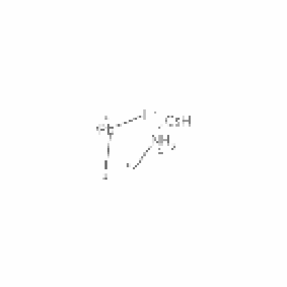 CN.[CsH].[I][Pb][I]